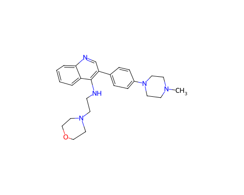 CN1CCN(c2ccc(-c3cnc4ccccc4c3NCCN3CCOCC3)cc2)CC1